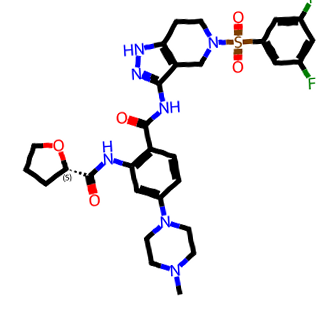 CN1CCN(c2ccc(C(=O)Nc3n[nH]c4c3CN(S(=O)(=O)c3cc(F)cc(F)c3)CC4)c(NC(=O)[C@@H]3CCCO3)c2)CC1